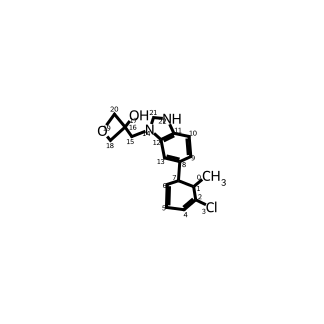 CC1C(Cl)=CC=CC1c1ccc2c(c1)N(CC1(O)COC1)CN2